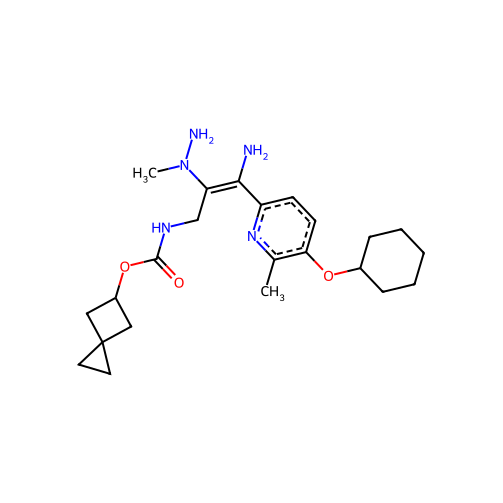 Cc1nc(/C(N)=C(\CNC(=O)OC2CC3(CC3)C2)N(C)N)ccc1OC1CCCCC1